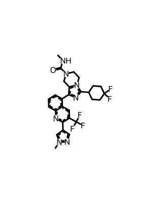 CNC(=O)N1CCn2c(C3CCC(F)(F)CC3)nc(-c3cccc4nc(-c5cnn(C)c5)c(C(F)(F)F)cc34)c2C1